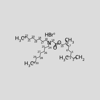 Br.C=CC(C)CCC=C(C)COC(=O)CN(CCCCCCCC)CCCCCCCC